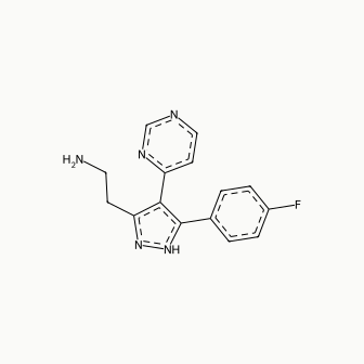 NCCc1n[nH]c(-c2ccc(F)cc2)c1-c1ccncn1